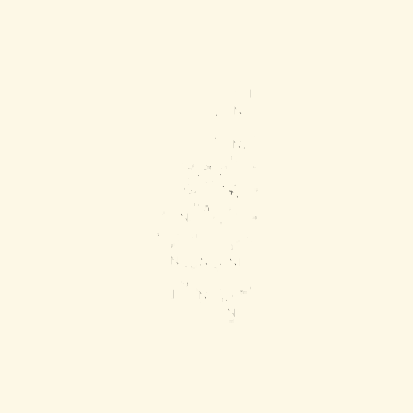 CN1CCN(C2CCN(c3ccc(Nc4nc(N[C@@H]5CCN(C(=O)OC(C)(C)C)C5)c(Cl)nc4C(N)=O)cc3)CC2)CC1